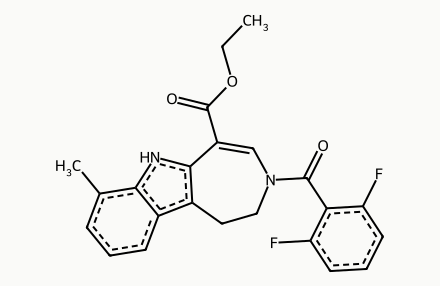 CCOC(=O)C1=CN(C(=O)c2c(F)cccc2F)CCc2c1[nH]c1c(C)cccc21